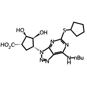 CCCCNc1nc(SC2CCCC2)nc2c1nnn2[C@@H]1C[C@H](C(=O)O)[C@@H](O)[C@H]1O